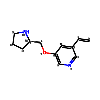 C=Cc1cncc(OC[C@@H]2CCCN2)c1